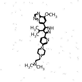 COc1cc(-c2[nH]nc(-c3ccc(N4CCN(CCN(C)C)CC4)cn3)c2C(C)C)cn2ncnc12